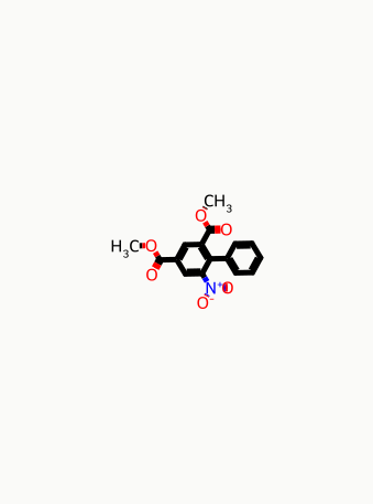 COC(=O)c1cc(C(=O)OC)c(-c2ccccc2)c([N+](=O)[O-])c1